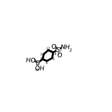 NS(=O)(=O)C1CCC(B(O)O)CC1